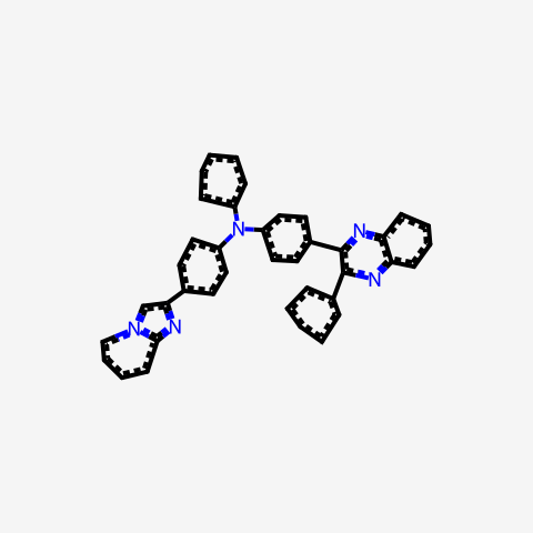 c1ccc(-c2nc3ccccc3nc2-c2ccc(N(c3ccccc3)c3ccc(-c4cn5ccccc5n4)cc3)cc2)cc1